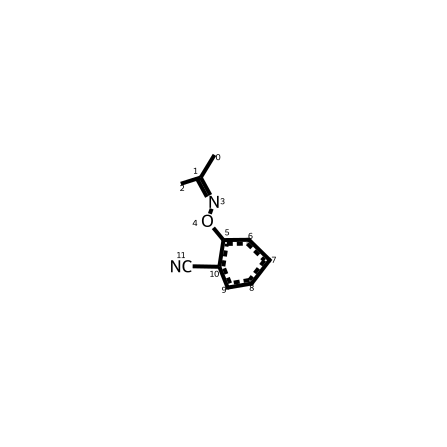 CC(C)=NOc1ccccc1C#N